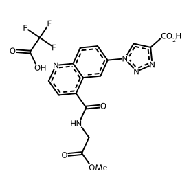 COC(=O)CNC(=O)c1ccnc2ccc(-n3cc(C(=O)O)nn3)cc12.O=C(O)C(F)(F)F